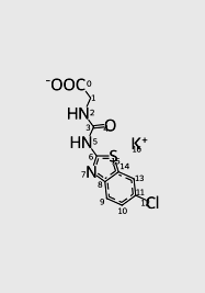 O=C([O-])CNC(=O)Nc1nc2ccc(Cl)cc2s1.[K+]